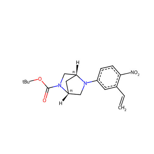 C=Cc1cc(N2C[C@H]3C[C@@H]2CN3C(=O)OC(C)(C)C)ccc1[N+](=O)[O-]